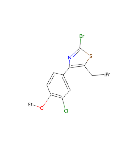 [CH2]COc1ccc(-c2nc(Br)sc2CC(C)C)cc1Cl